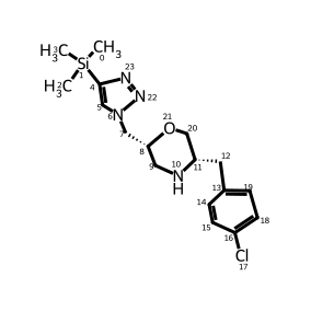 C[Si](C)(C)c1cn(C[C@H]2CN[C@@H](Cc3ccc(Cl)cc3)CO2)nn1